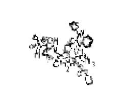 C=C[C@@H]1C[C@]1(NC(=O)[C@@H]1C[C@@H](Oc2nc3ccccc3nc2-c2cccs2)CN1C(=O)[C@@H](NOC(=O)OC1CCCC1)C(C)C)C(=O)NS(=O)(=O)C1CC1